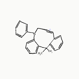 CC1(C)c2ccccc2/C=C\CN(c2ccccc2)c2ccccc21